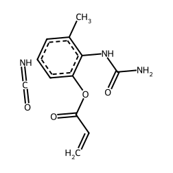 C=CC(=O)Oc1cccc(C)c1NC(N)=O.N=C=O